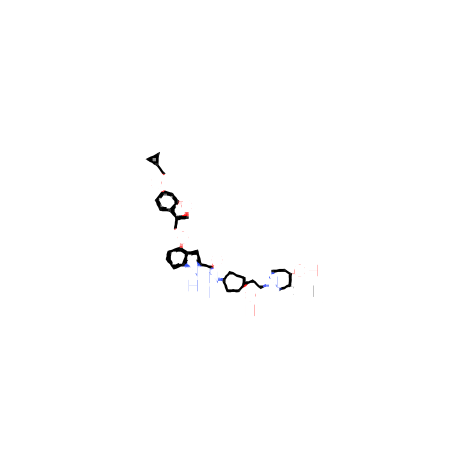 C[C@H]1CN(CCC2(O)CCC(NC(=O)c3cc4c(OCc5coc6cc(OCC7CC7)ccc56)cccc4[nH]3)CC2)CC[C@@H]1O